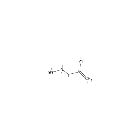 C=C(Cl)CNCCC